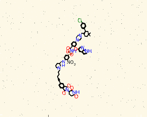 CC1(C)CCC(CN2CCN(c3ccc(C(=O)NS(=O)(=O)c4ccc(NCC5CCCN(CCCCC#Cc6ccc7c(c6)C(=O)N(C6CCC(=O)NC6=O)C7=O)C5)c([N+](=O)[O-])c4)c(Oc4cnc5[nH]ccc5c4)c3)CC2)=C(c2ccc(Cl)cc2)C1